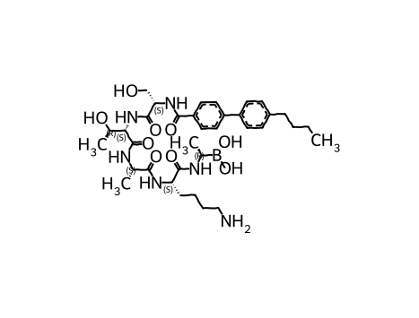 CCCCc1ccc(-c2ccc(C(=O)N[C@@H](CO)C(=O)N[C@H](C(=O)N[C@@H](C)C(=O)N[C@@H](CCCCN)C(=O)N[C@@H](C)B(O)O)[C@@H](C)O)cc2)cc1